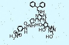 NS(=O)(=O)c1cccc(NC(=O)NC2CCN(c3nc(NCC(c4ccccc4)c4ccccc4)c4ncn([C@@H]5C[C@H](n6nnc(CO)n6)[C@@H](O)[C@H]5O)c4n3)C2)c1